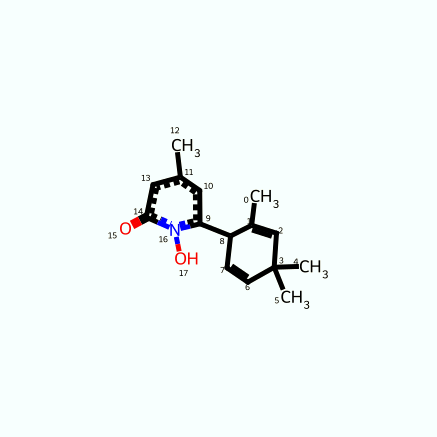 CC1=CC(C)(C)C=CC1c1cc(C)cc(=O)n1O